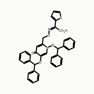 O=C(O)/C(=N\OCc1cc(=O)c(OC(c2ccccc2)c2ccccc2)cn1OC(c1ccccc1)c1ccccc1)c1cccs1